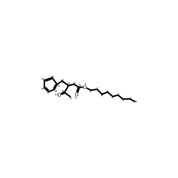 CCCCCCCCCOC(=O)CC(Cc1ccccc1)C(C)=O